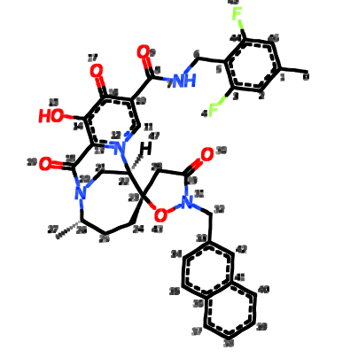 Cc1cc(F)c(CNC(=O)c2cn3c(c(O)c2=O)C(=O)N2C[C@@H]3[C@]3(CC[C@@H]2C)CC(=O)N(Cc2ccc4ccccc4c2)O3)c(F)c1